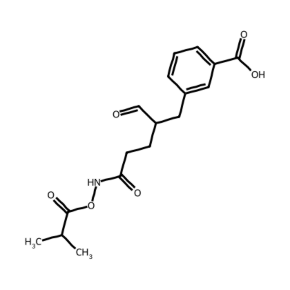 CC(C)C(=O)ONC(=O)CCC(C=O)Cc1cccc(C(=O)O)c1